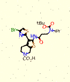 CC(C)N(CCC(=O)Nc1sc2c(c1-c1nc(Br)cs1)CCN(C(=O)O)C2)C(=O)OC(C)(C)C